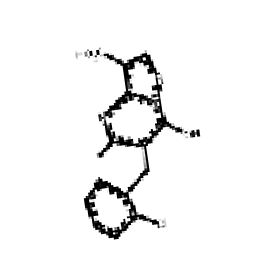 Cc1nc2c(C(=O)O)cnn2c(O)c1Cc1ccccc1Cl